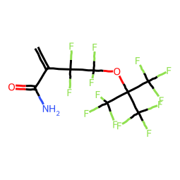 C=C(C(N)=O)C(F)(F)C(F)(F)OC(C(F)(F)F)(C(F)(F)F)C(F)(F)F